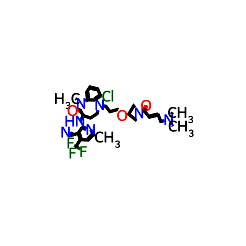 Cc1cc(C(F)(F)F)c(C#N)c(NC2CCN(CCCOC3CN(C(=O)C=CCN(C)C)C3)c3c(Cl)cccc3N(C)C2=O)n1